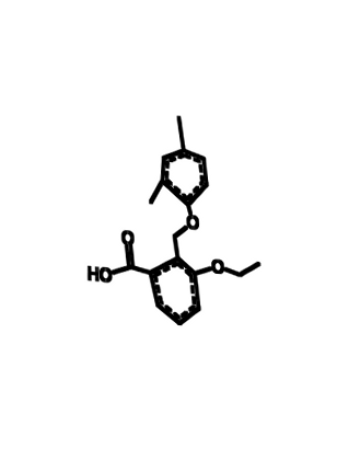 CCOc1cccc(C(=O)O)c1COc1ccc(C)cc1C